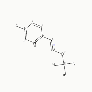 Cc1ccc(/C=C/OC(C)(C)C)nc1